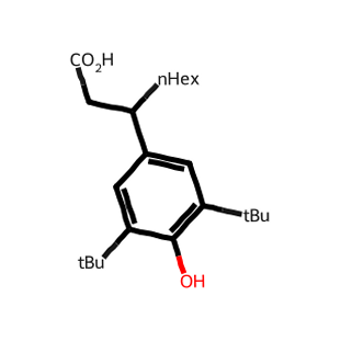 CCCCCCC(CC(=O)O)c1cc(C(C)(C)C)c(O)c(C(C)(C)C)c1